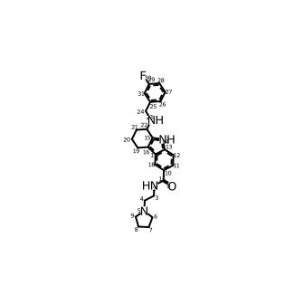 O=C(NCCN1CCCC1)c1ccc2[nH]c3c(c2c1)CCCC3NCc1cccc(F)c1